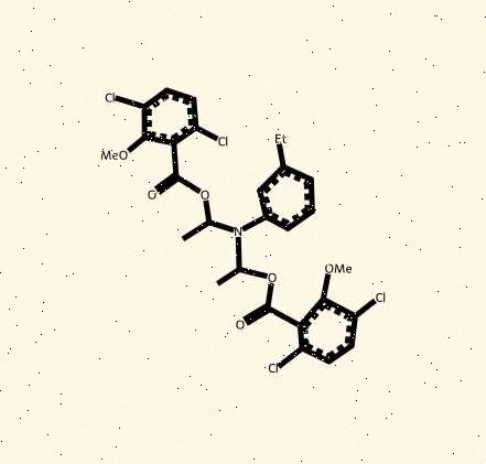 CCc1cccc(N(C(C)OC(=O)c2c(Cl)ccc(Cl)c2OC)C(C)OC(=O)c2c(Cl)ccc(Cl)c2OC)c1